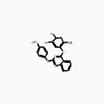 CCC1CC(C)=C(Nc2nc(Sc3ccc(NC(C)=O)cc3)nc3ccccc23)C=C1C